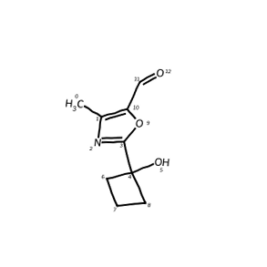 Cc1nc(C2(O)CCC2)oc1C=O